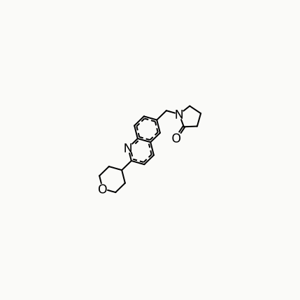 O=C1CCCN1Cc1ccc2nc(C3CCOCC3)ccc2c1